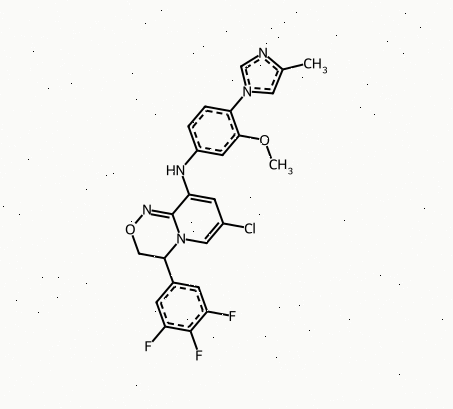 COc1cc(NC2=CC(Cl)=CN3C2=NOCC3c2cc(F)c(F)c(F)c2)ccc1-n1cnc(C)c1